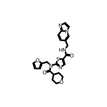 O=C(NCc1ccc2nccn2c1)c1cnc(N(Cc2ccco2)C(=O)C2CCOCC2)s1